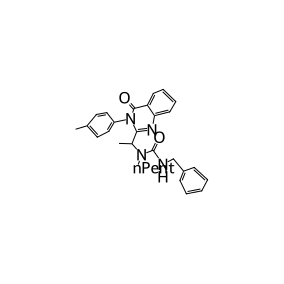 CCCCCN(C(=O)NCc1ccccc1)C(C)c1nc2ccccc2c(=O)n1-c1ccc(C)cc1